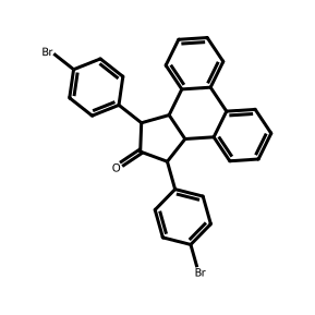 O=C1C(c2ccc(Br)cc2)C2c3ccccc3-c3ccccc3C2C1c1ccc(Br)cc1